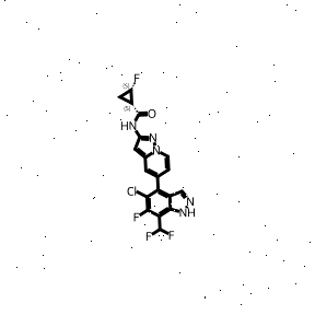 O=C(Nc1cc2cc(-c3c(Cl)c(F)c(C(F)F)c4[nH]ncc34)ccn2n1)[C@@H]1C[C@@H]1F